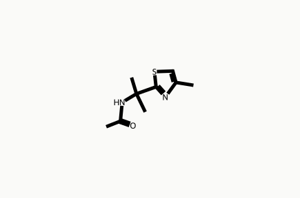 CC(=O)NC(C)(C)c1nc(C)cs1